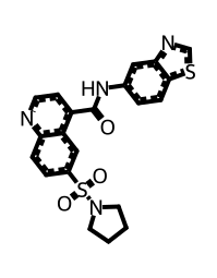 O=C(Nc1ccc2scnc2c1)c1ccnc2ccc(S(=O)(=O)N3CCCC3)cc12